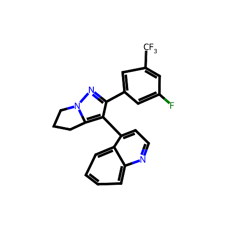 Fc1cc(-c2nn3c(c2-c2ccnc4ccccc24)CCC3)cc(C(F)(F)F)c1